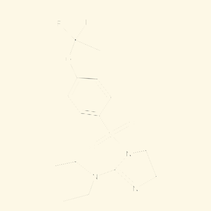 CCN(CC)C1=NCCN1S(=O)(=O)c1ccc(OC(F)(F)F)cc1